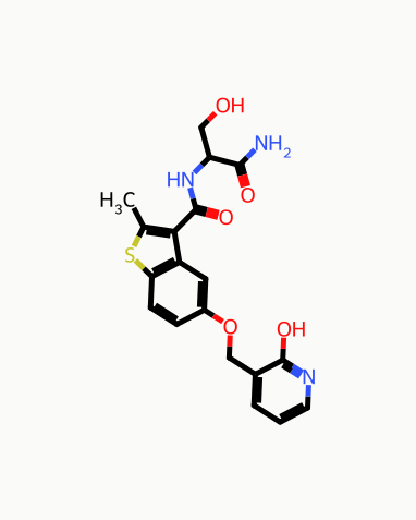 Cc1sc2ccc(OCc3cccnc3O)cc2c1C(=O)NC(CO)C(N)=O